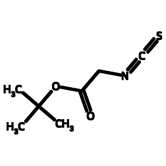 CC(C)(C)OC(=O)CN=C=S